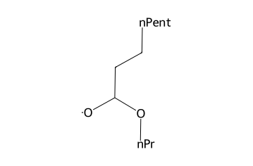 CCCCCCCC([O])OCCC